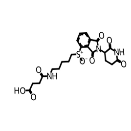 O=C(O)CCC(=O)NCCCCC[S+]([O-])c1cccc2c1C(=O)N(C1CCC(=O)NC1=O)C2=O